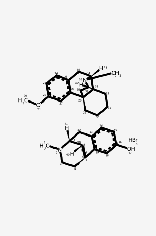 Br.CN1CC[C@]23CCCC[C@H]2[C@H]1Cc1ccc(O)cc13.COc1ccc2c(c1)[C@@]13CCCC[C@H]1[C@@H](C2)N(C)CC3